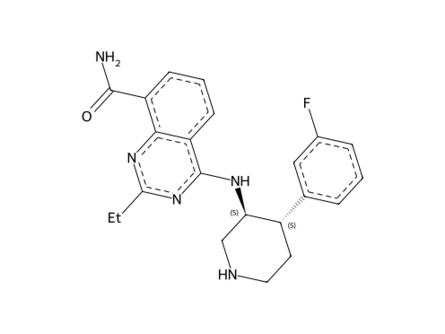 CCc1nc(N[C@@H]2CNCC[C@H]2c2cccc(F)c2)c2cccc(C(N)=O)c2n1